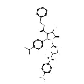 CC(C)c1ccc(C2C(C(=O)CCc3ccccc3)C(O)C(=O)N2C2=NCC(S(=O)(=O)c3ccc([N+](=O)[O-])cc3)S2)cc1